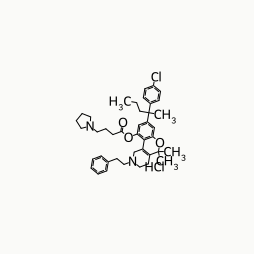 CCCC(C)(c1ccc(Cl)cc1)c1cc(OC(=O)CCCN2CCCC2)c2c(c1)OC(C)(C)C1=C2CN(CCc2ccccc2)CC1.Cl